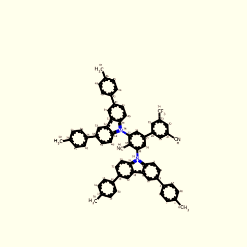 Cc1ccc(-c2ccc3c(c2)c2cc(-c4ccc(C)cc4)ccc2n3-c2cc(-c3cc(C#N)cc(C(F)(F)F)c3)cc(-n3c4ccc(-c5ccc(C)cc5)cc4c4cc(-c5ccc(C)cc5)ccc43)c2C#N)cc1